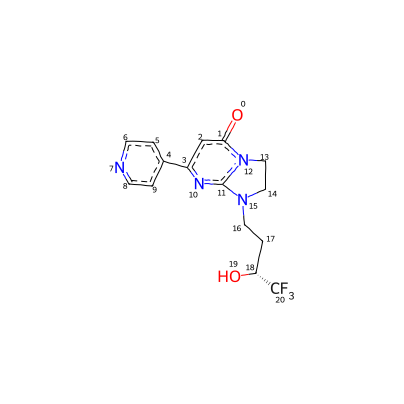 O=c1cc(-c2ccncc2)nc2n1CCN2CC[C@@H](O)C(F)(F)F